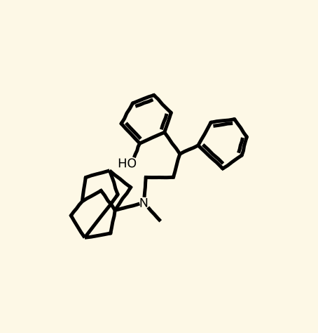 CN(CCC(c1ccccc1)c1ccccc1O)C12CC3CC(CC(C3)C1)C2